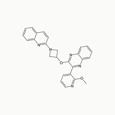 COc1ncccc1-c1nc2ccccc2nc1OC1CN(c2ccc3ccccc3n2)C1